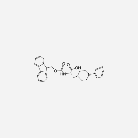 O=C(N[C@@H](CC1CCN(c2ccccc2)CC1)C(=O)O)OCC1c2ccccc2-c2ccccc21